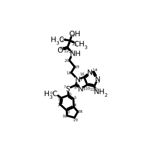 Cc1cc2c(cc1Sc1nc3c(N)ncnc3n1CCCNC(=O)C(C)(C)O)CCC2